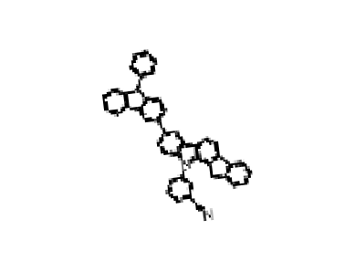 N#Cc1cccc(-n2c3ccc(-c4ccc5c(c4)-c4ccccc4C5c4ccccc4)cc3c3ccc4c(c32)Cc2ccccc2-4)c1